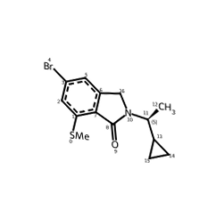 CSc1cc(Br)cc2c1C(=O)N([C@@H](C)C1CC1)C2